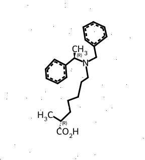 C[C@H](CCCCCN(Cc1ccccc1)[C@H](C)c1ccccc1)C(=O)O